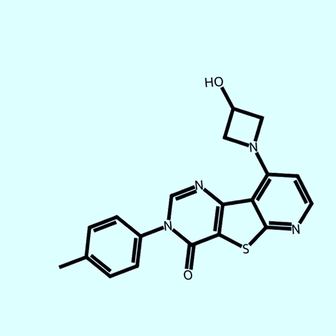 Cc1ccc(-n2cnc3c(sc4nccc(N5CC(O)C5)c43)c2=O)cc1